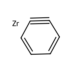 [Zr].c1ccccc#1